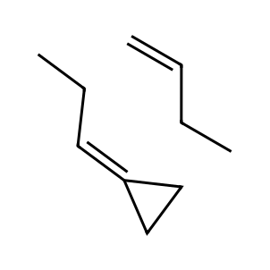 C=CCC.CCC=C1CC1